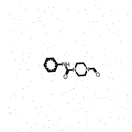 O=CN1CCN(C(=O)Nc2ccccc2)CC1